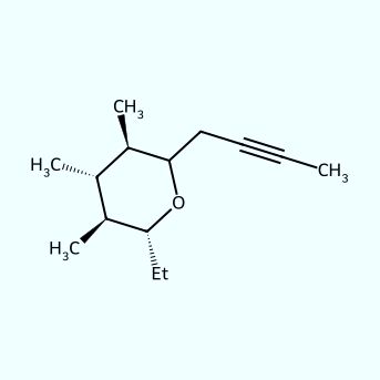 CC#CCC1O[C@H](CC)[C@@H](C)[C@H](C)[C@H]1C